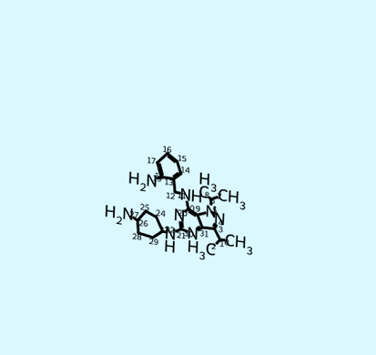 CC(C)c1nn(C(C)C)c2c(NCc3ccccc3N)nc(NC3CCC(N)CC3)nc12